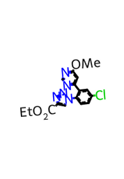 CCOC(=O)c1cn(-c2ccc(Cl)cc2-c2cc(OC)ncn2)nn1